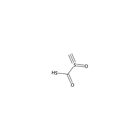 C#S(=O)C(=O)S